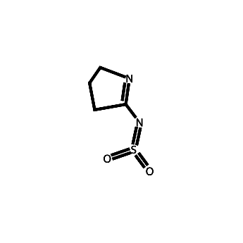 O=S(=O)=NC1=NCCC1